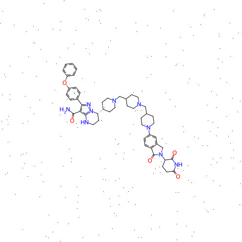 NC(=O)c1c(-c2ccc(Oc3ccccc3)cc2)nn2c1NCC[C@H]2C1CCN(CC2CCN(CC3CCN(c4ccc5c(c4)CN(C4CCC(=O)NC4=O)C5=O)CC3)CC2)CC1